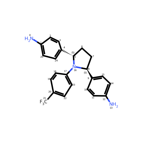 Nc1ccc([C@@H]2CC[C@@H](c3ccc(N)cc3)N2c2ccc(C(F)(F)F)cc2)cc1